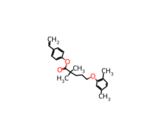 C=Cc1ccc(OC(=O)C(C)(C)CCCOc2cc(C)ccc2C)cc1